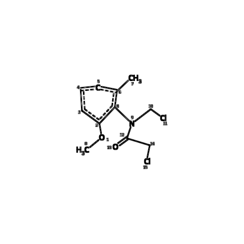 COc1cccc(C)c1N(CCl)C(=O)CCl